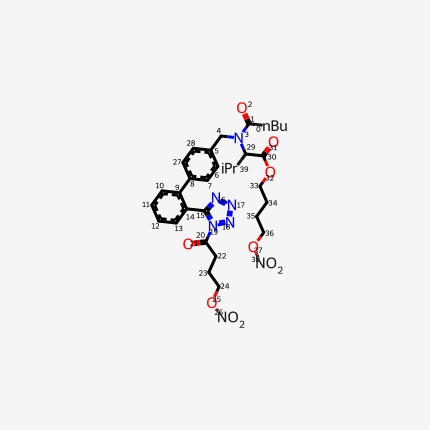 CCCCC(=O)N(Cc1ccc(-c2ccccc2-c2nnnn2C(=O)CCCO[N+](=O)[O-])cc1)C(C(=O)OCCCCO[N+](=O)[O-])C(C)C